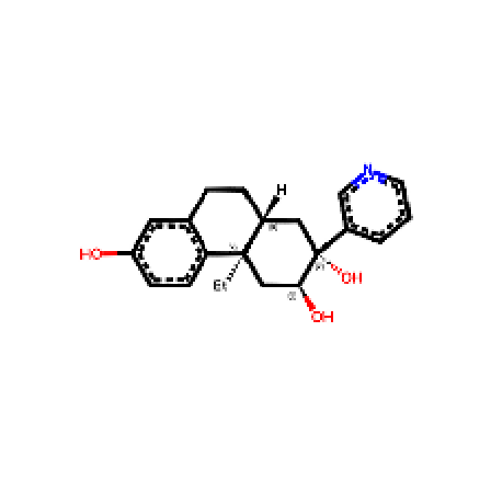 CC[C@@]12C[C@H](O)[C@](O)(c3cccnc3)C[C@H]1CCc1cc(O)ccc12